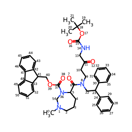 CN1CCCC(C(=O)N(CCC(=O)CNC(=O)OC(C)(C)C)CC(c2ccccc2)c2ccccc2)N(C(=O)OCC2c3ccccc3-c3ccccc32)C1